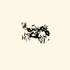 C[C@@H](NC(=O)[C@@H]1C[C@@H](OC(F)F)CN1C(=O)CNC(=O)c1ccc2c(c1)-c1ccccc1C2(F)F)c1cc(C(=N)N)cs1